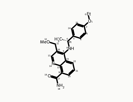 CCOc1ccc([C@@H](C)Nc2c(COC)cnc3c(C(N)=O)cccc23)cc1